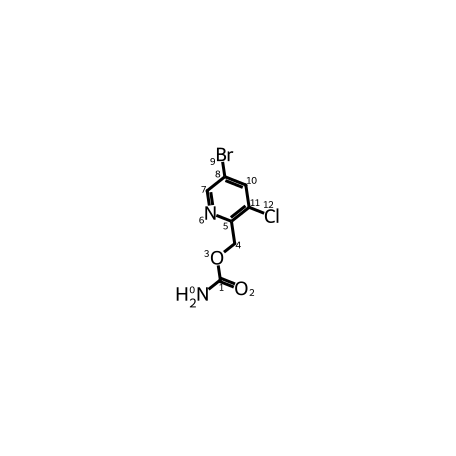 NC(=O)OCc1ncc(Br)cc1Cl